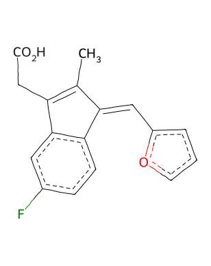 CC1=C(CC(=O)O)c2cc(F)ccc2/C1=C\c1ccco1